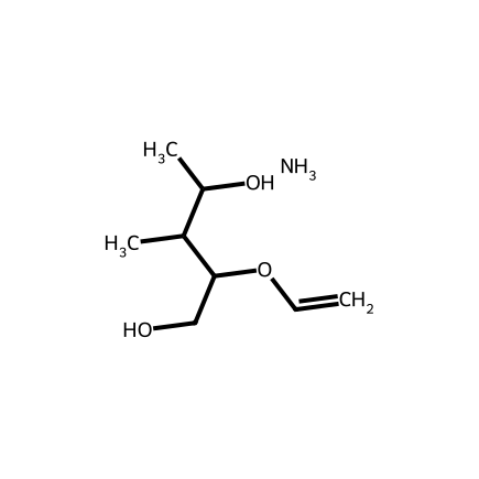 C=COC(CO)C(C)C(C)O.N